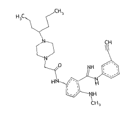 C#Cc1cccc(NC(=N)c2cc(NC(=O)CN3CCN(C(CCC)CCC)CC3)ccc2NC)c1